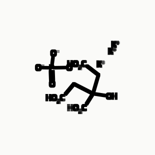 O=C(O)CC(O)(CC(=O)O)C(=O)O.O=P([O-])([O-])[O-].[K+].[K+].[K+]